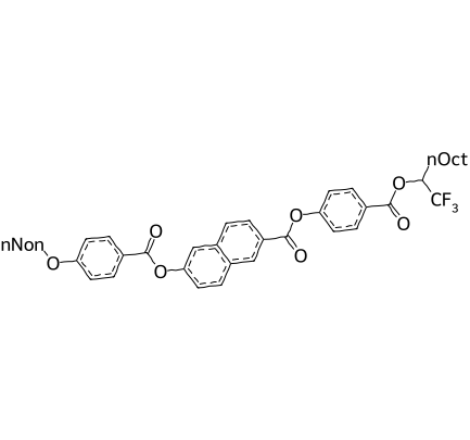 CCCCCCCCCOc1ccc(C(=O)Oc2ccc3cc(C(=O)Oc4ccc(C(=O)OC(CCCCCCCC)C(F)(F)F)cc4)ccc3c2)cc1